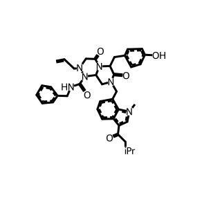 C=CCN1CC(=O)N2C(Cc3ccc(O)cc3)C(=O)N(Cc3cccc4c(C(=O)CC(C)C)cn(C)c34)CC2N1C(=O)NCc1ccccc1